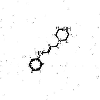 C(=CNc1ccccc1)CN1CCNCC1